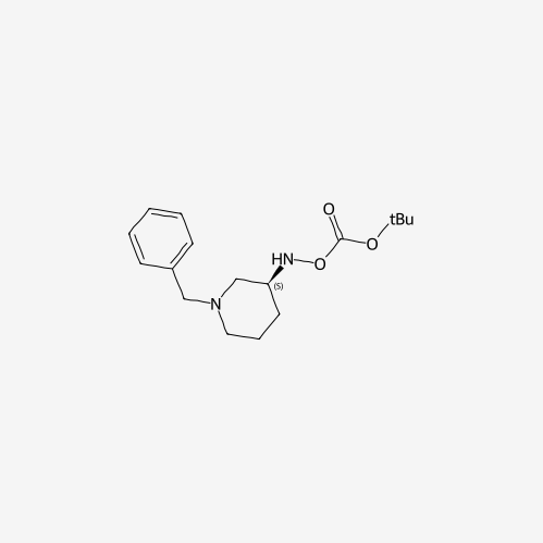 CC(C)(C)OC(=O)ON[C@H]1CCCN(Cc2ccccc2)C1